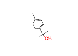 CC1=CC=C(C(C)(C)O)CC1